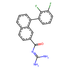 NC(N)=NC(=O)c1ccc2cccc(-c3cccc(F)c3F)c2c1